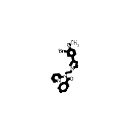 COc1ccc(C2CCN(CCN(C(=O)C3CCCCC3)c3ccccn3)C2)cc1Br